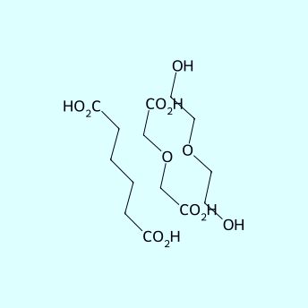 O=C(O)CCCCC(=O)O.O=C(O)COCC(=O)O.OCCOCCO